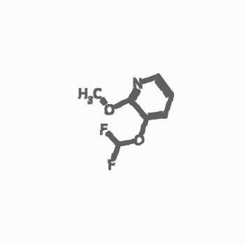 COc1ncccc1OC(F)F